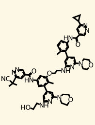 Cc1ccc(NC(=O)c2cnnc(C3CC3)c2)cc1-c1cc(NCCOc2cc(NC(=O)c3cnnc(C(C)(C)C#N)c3)cc(-c3cc(NCCO)nc(N4CCOCC4)c3)c2C)nc(N2CCOCC2)c1